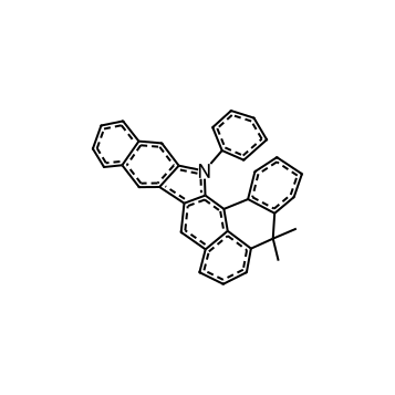 CC1(C)c2ccccc2-c2c3c1cccc3cc1c3cc4ccccc4cc3n(-c3ccccc3)c21